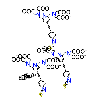 O=C([O-])CN(CC(=O)[O-])Cc1cc(C#Cc2ccc(N=C=S)cc2)cc(CN(CC(=O)[O-])CC(=O)[O-])n1.O=C([O-])CN(CC(=O)[O-])Cc1cc(C#Cc2ccc(N=C=S)cc2)cc(CN(CC(=O)[O-])CC(=O)[O-])n1.O=C([O-])CN(CC(=O)[O-])Cc1cc(C#Cc2ccc(N=C=S)cc2)cc(CN(CC(=O)[O-])CC(=O)[O-])n1.[Eu+3].[Eu+3].[Eu+3].[Eu+3]